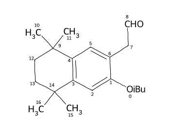 CC(C)COc1cc2c(cc1CC=O)C(C)(C)CCC2(C)C